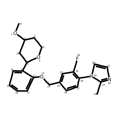 COC1CCOC(c2ccccc2OCc2ccc(-n3ccnc3C)c(F)c2)C1